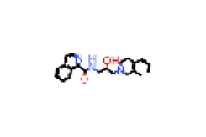 C/C=C\C1=C(C)CN(C[C@@H](O)CNC(=O)c2nccc3ccccc23)CC1